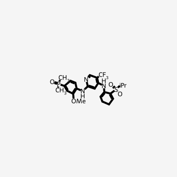 COc1cc(P(C)(C)=O)ccc1Nc1cc(NC2=CCCC=C2S(=O)(=O)C(C)C)c(C(F)(F)F)cn1